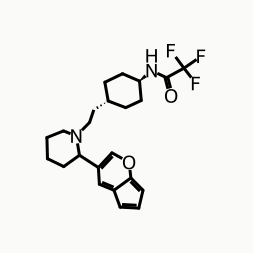 O=C(N[C@H]1CC[C@H](CCN2CCCCC2c2coc3cccc-3c2)CC1)C(F)(F)F